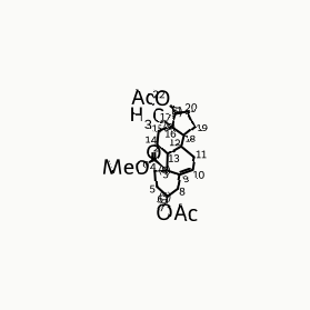 COC(=O)[C@]12CC[C@H](OC(C)=O)CC1=CCC1C2CC[C@@]2(C)C1CC[C@@H]2OC(C)=O